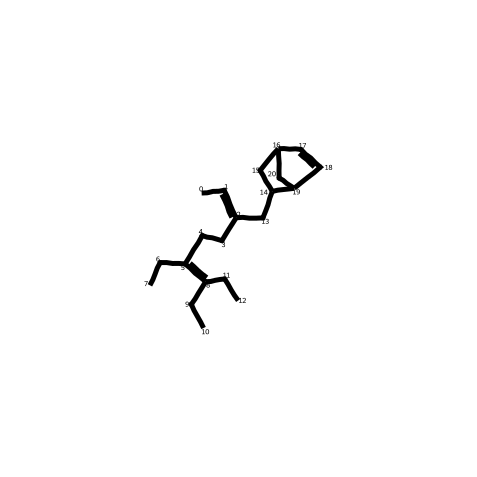 CC=C(CCC(CC)=C(CC)CC)CC1CC2C=CC1C2